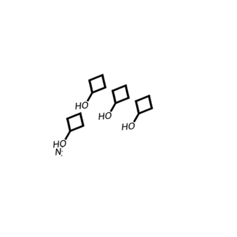 OC1CCC1.OC1CCC1.OC1CCC1.OC1CCC1.[N]